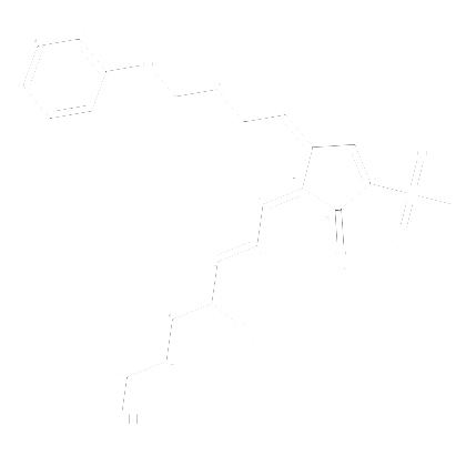 CS(=O)(=O)C1=CC(=CCCCOc2ccccc2)C(=CC=CC(O)CCCO)C1=O